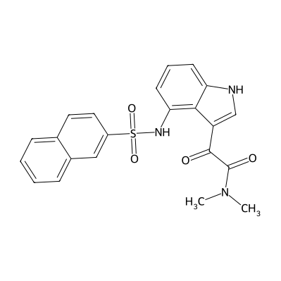 CN(C)C(=O)C(=O)c1c[nH]c2cccc(NS(=O)(=O)c3ccc4ccccc4c3)c12